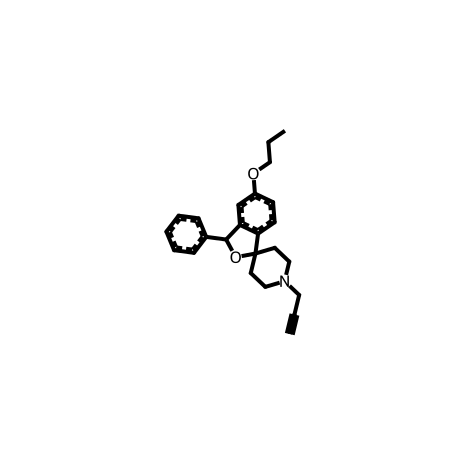 C#CCN1CCC2(CC1)OC(c1ccccc1)c1cc(OCCC)ccc12